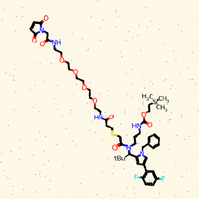 CC(C)(C)[C@H](c1cc(-c2cc(F)ccc2F)cn1Cc1ccccc1)N(CCCNC(=O)OCC[Si](C)(C)C)C(=O)CSCCC(=O)NCCOCCOCCOCCOCCNC(=O)CN1C(=O)C=CC1=O